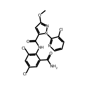 COc1cc(C(=O)Nc2c(Cl)cc(Cl)cc2C(N)=O)n(-c2ncccc2Cl)n1